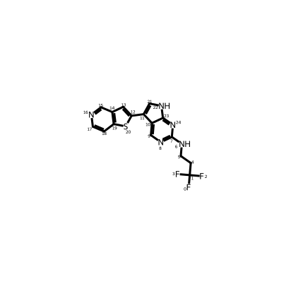 FC(F)(F)CCNc1ncc2c(-c3cc4cnccc4s3)c[nH]c2n1